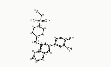 N#Cc1cc(-c2cc(NC3CCN(S(=O)(=O)CF)CC3)c3cnccc3c2)ccc1F